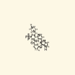 Cc1ccc(C(=O)Nc2cc(CN3CCN(C)CC3)cc(C(F)(F)F)c2)cc1Oc1nc(-c2ccncc2)nc2cc[nH]c12